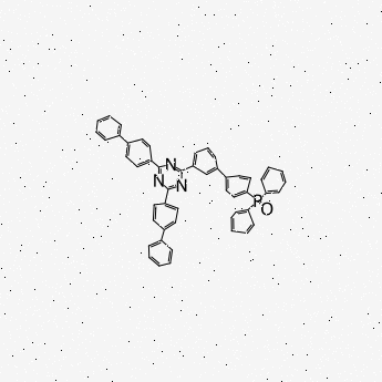 O=P(c1ccccc1)(c1ccccc1)c1ccc(-c2cccc(-c3nc(-c4ccc(-c5ccccc5)cc4)nc(-c4ccc(-c5ccccc5)cc4)n3)c2)cc1